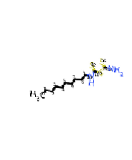 CCCCCCCCCCNC(=S)SC(N)=S